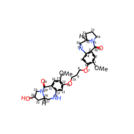 COc1cc2c(cc1OCCCOc1cc3c(cc1OC)C(=O)N1C[C@H](O)C[C@H]1CN3)N=C[C@@H]1CCCN1C2=O